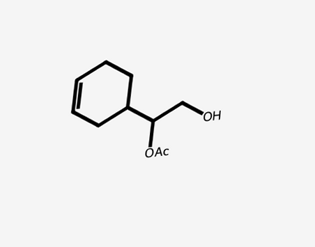 CC(=O)OC(CO)C1CC=CCC1